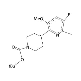 COc1cc(F)c(C)nc1N1CCN(C(=O)OC(C)(C)C)CC1